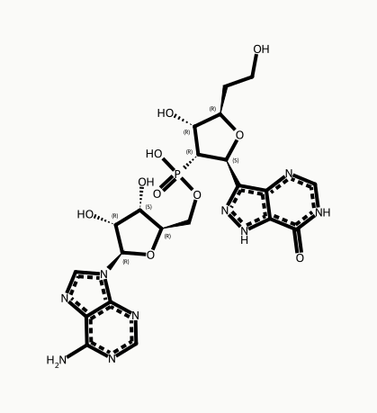 Nc1ncnc2c1ncn2[C@@H]1O[C@H](COP(=O)(O)[C@@H]2[C@H](O)[C@@H](CCO)O[C@H]2c2n[nH]c3c(=O)[nH]cnc23)[C@@H](O)[C@H]1O